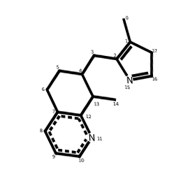 CC1=C(CC2CCc3cccnc3C2C)N=CC1